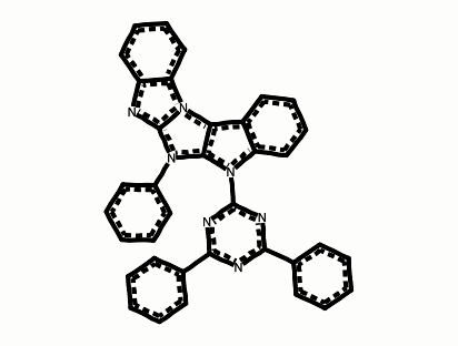 c1ccc(-c2nc(-c3ccccc3)nc(-n3c4ccccc4c4c3n(-c3ccccc3)c3nc5ccccc5n43)n2)cc1